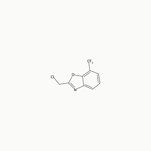 FC(F)(F)c1cccc2nc(CCl)oc12